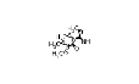 COC(=N)N(SC)C(=O)N(SC)SC